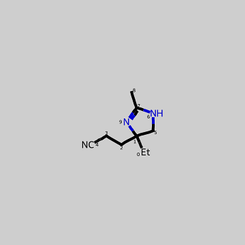 CCC1(CCC#N)CNC(C)=N1